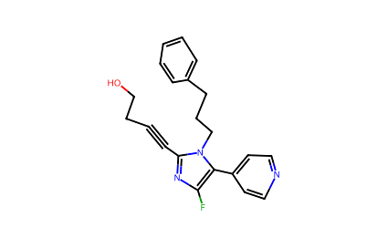 OCCC#Cc1nc(F)c(-c2ccncc2)n1CCCc1ccccc1